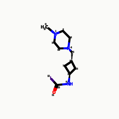 CN1CCN(C[C@H]2C[C@H](NC(=O)I)C2)CC1